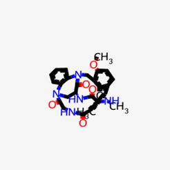 CN[C@@H](C)C(=O)N[C@H]1CN2C(=O)CNC(=O)c3ccc4c(c(OC)ccc4c3)CN(C1=O)c1ccccc12